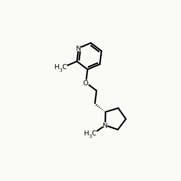 Cc1ncccc1OCC[C@@H]1CCCN1C